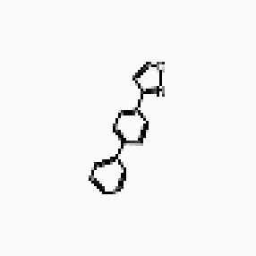 c1ccc(-c2ccc(-c3ccon3)cc2)cc1